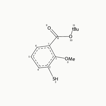 COc1c(S)cccc1C(=O)OC(C)(C)C